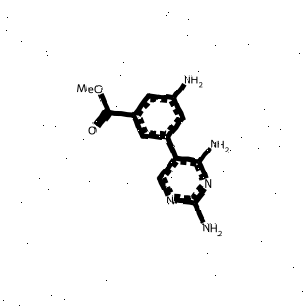 COC(=O)c1cc(N)cc(-c2cnc(N)nc2N)c1